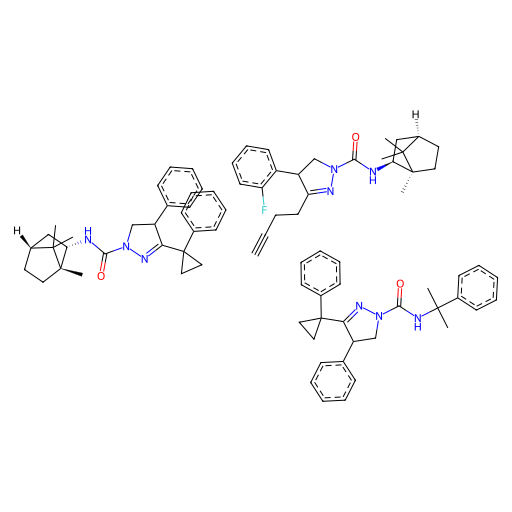 C#CCCC1=NN(C(=O)N[C@H]2C[C@H]3CC[C@]2(C)C3(C)C)CC1c1ccccc1F.CC(C)(NC(=O)N1CC(c2ccccc2)C(C2(c3ccccc3)CC2)=N1)c1ccccc1.CC1(C)[C@@H]2CC[C@@]1(C)[C@@H](NC(=O)N1CC(c3ccccc3)C(C3(c4ccccc4)CC3)=N1)C2